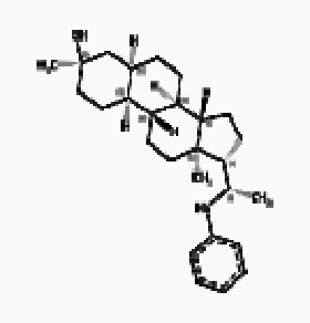 C[C@H](Nc1ccccc1)[C@H]1CC[C@H]2[C@@H]3CC[C@@H]4C[C@](C)(O)CC[C@@H]4[C@H]3CC[C@]12C